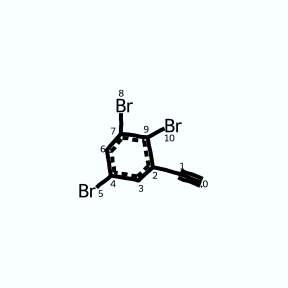 [C]#Cc1cc(Br)cc(Br)c1Br